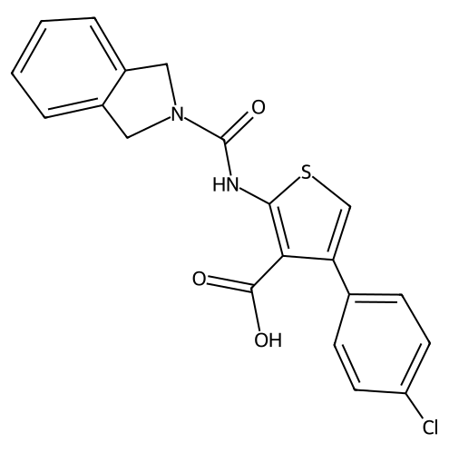 O=C(O)c1c(-c2ccc(Cl)cc2)csc1NC(=O)N1Cc2ccccc2C1